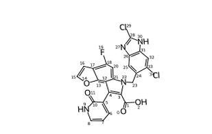 O=C(O)c1c(-c2ccc[nH]c2=O)c2c3occc3c(F)cc2n1Cc1cc2nc(Cl)[nH]c2cc1Cl